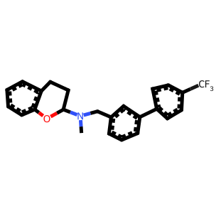 CN(Cc1cccc(-c2ccc(C(F)(F)F)cc2)c1)C1CCc2ccccc2O1